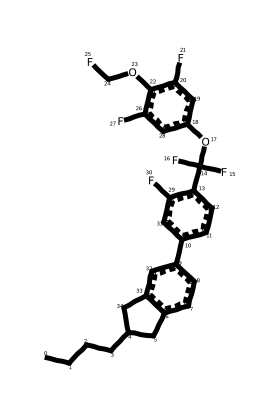 CCCCC1Cc2ccc(-c3ccc(C(F)(F)Oc4cc(F)c(OCF)c(F)c4)c(F)c3)cc2C1